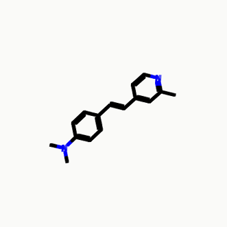 Cc1cc(C=Cc2ccc(N(C)C)cc2)ccn1